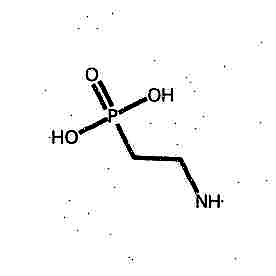 [NH]CCP(=O)(O)O